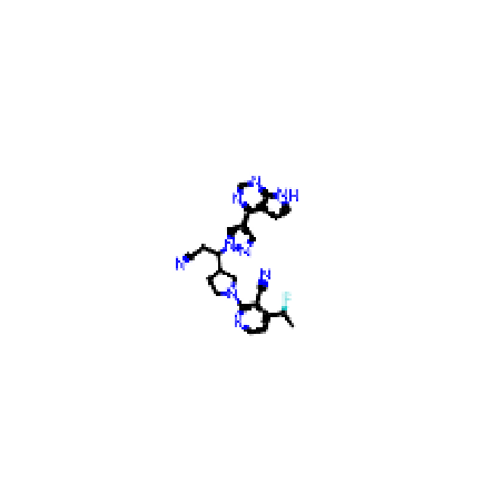 CC(F)c1ccnc(N2CCC(C(CC#N)n3cc(-c4ncnc5[nH]ccc45)cn3)C2)c1C#N